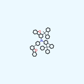 CC1(c2cc(N(c3ccc(-c4cccc5c4oc4ccccc45)cc3)c3ccc4c(c3)C(c3ccccc3)(c3ccccc3)c3ccccc3-4)cc3c2oc2ccccc23)c2ccccc2-c2ccccc21